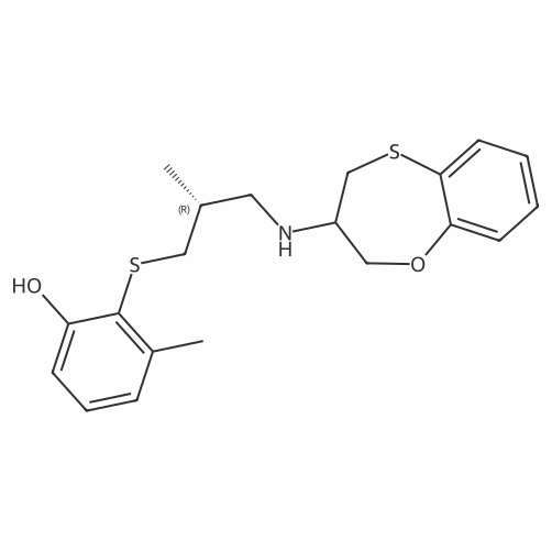 Cc1cccc(O)c1SC[C@H](C)CNC1COc2ccccc2SC1